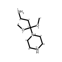 COC(CC[SiH3])(OC)N1CCNCC1